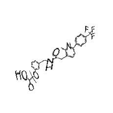 Cc1nc(-c2ccc(C(F)(F)F)cc2)ccc1CC(=O)NCc1cccc(OC(C)(C)C(=O)O)c1